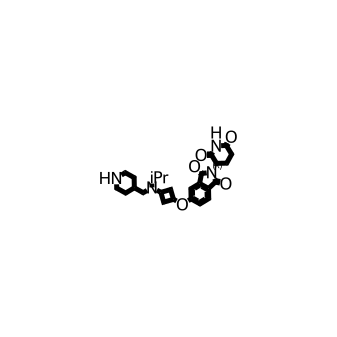 CC(C)N(CC1CCNCC1)C1CC(Oc2ccc3c(c2)C(=O)N([C@@H]2CCC(=O)NC2=O)C3=O)C1